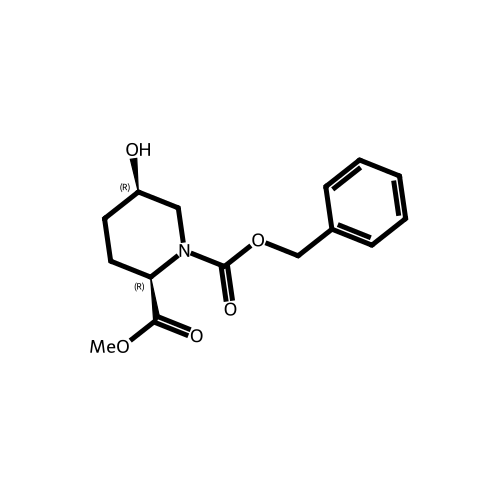 COC(=O)[C@H]1CC[C@@H](O)CN1C(=O)OCc1ccccc1